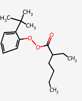 CCCCC(CC)C(=O)OOc1ccccc1C(C)(C)C